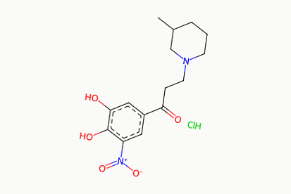 CC1CCCN(CCC(=O)c2cc(O)c(O)c([N+](=O)[O-])c2)C1.Cl